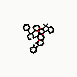 CC1(C)c2ccccc2-c2cc(N(c3cccc(-c4ccccc4)c3-c3ccccc3-c3ccccc3)c3cccc4c3sc3ccccc34)ccc21